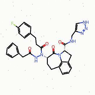 O=C(Cc1ccccc1)NN(C(=O)CCc1ccc(F)cc1)[C@H]1CCc2cccc3c2N(C1=O)[C@H](C(=O)NCc1c[nH]nn1)C3